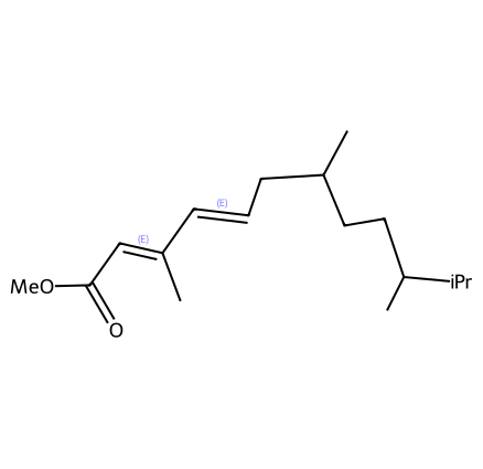 COC(=O)/C=C(C)/C=C/CC(C)CCC(C)C(C)C